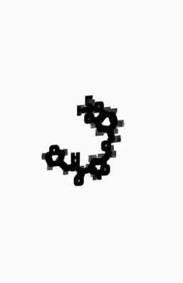 O=C(NCC1CCOC1)c1cc(COCc2ccc3c(c2)OC(F)(F)O3)on1